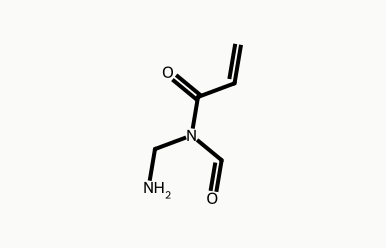 C=CC(=O)N(C=O)CN